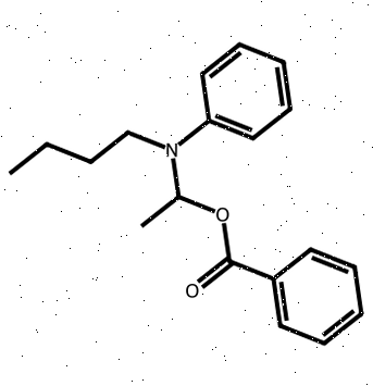 CCCCN(c1ccccc1)C(C)OC(=O)c1ccccc1